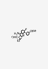 CCN1Cc2nc3c(-c4cccc(OC)c4)c(F)ccc3c(N)c2C1C=O